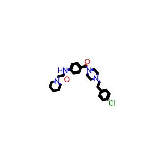 O=C(CN1CCCCC1)Nc1ccc(C(=O)N2CCN(CCc3ccc(Cl)cc3)CC2)cc1